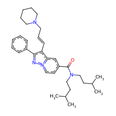 CC(C)CCN(CCC(C)C)C(=O)c1ccn2nc(-c3ccccc3)c(/C=C/CN3CCCCC3)c2c1